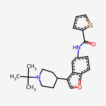 CC(C)(C)N1CCC(c2coc3ccc(NC(=O)c4cccs4)cc23)CC1